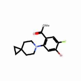 COC(=O)c1cc(F)c(Br)cc1N1CCC2(CC1)CC2